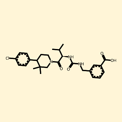 CC(C)[C@@H](NC(=O)NCc1cccc(C(=O)O)c1)C(=O)N1CCC(c2ccc(Cl)cc2)C(C)(C)C1